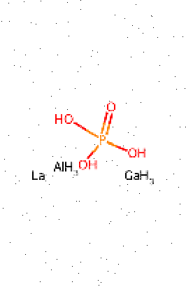 O=P(O)(O)O.[AlH3].[GaH3].[La]